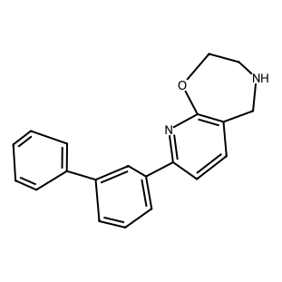 c1ccc(-c2cccc(-c3ccc4c(n3)OCCNC4)c2)cc1